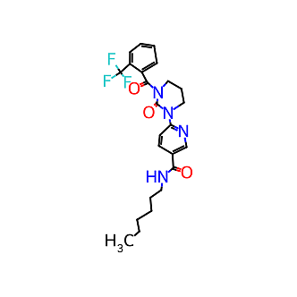 CCCCCCNC(=O)c1ccc(N2CCCN(C(=O)c3ccccc3C(F)(F)F)C2=O)nc1